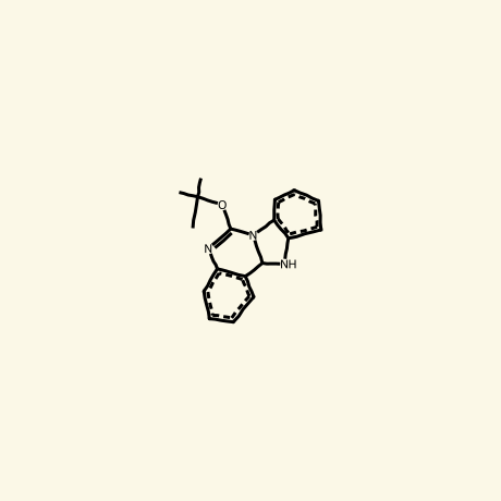 CC(C)(C)OC1=Nc2ccccc2C2Nc3ccccc3N12